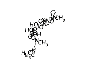 CCN(CC)CCCCN(CC)COP(=O)(O)OP(=O)(O)OCC1OC(n2ccc(=O)n(Cc3nn(C)c4ccccc34)c2=O)[C@@H](O)C1O